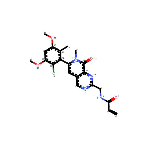 C=CC(=O)NCc1ncc2cc(-c3c(C)c(OC)cc(OC)c3Cl)n(C)c(=O)c2n1